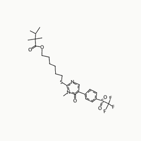 CC(C)C(C)(C)C(=O)OCCCCCCSc1ncc(-c2ccc(S(=O)(=O)C(F)(F)F)cc2)c(=O)n1C